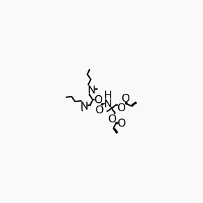 C=CC(=O)OCC(C)(COC(=O)C=C)NC(=O)OC(CN(C)CCCC)CN(C)CCCC